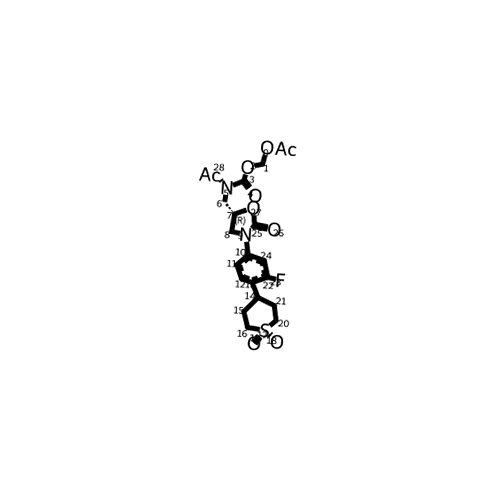 CC(=O)OCOC(=O)N(C[C@H]1CN(c2ccc(C3CCS(=O)(=O)CC3)c(F)c2)C(=O)O1)C(C)=O